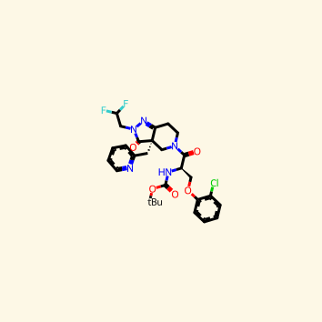 CC(C)(C)OC(=O)N[C@H](COc1ccccc1Cl)C(=O)N1CCC2=NN(CC(F)F)C(=O)[C@]2(Cc2ccccn2)C1